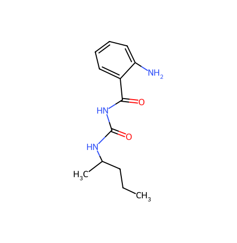 CCCC(C)NC(=O)NC(=O)c1ccccc1N